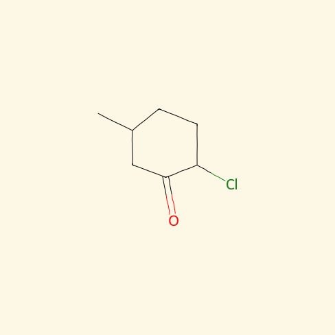 CC1CCC(Cl)C(=O)C1